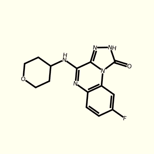 O=c1[nH]nc2c(NC3CCOCC3)nc3ccc(F)cc3n12